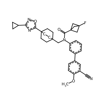 COc1ccc(-c2cccc(N(CC34CCC(c5nc(C6CC6)no5)(CC3)CC4)C(=O)C34CC(F)(C3)C4)c2)cc1C#N